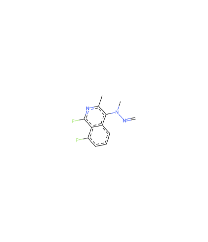 C=NN(C)c1c(C)nc(F)c2c(F)cccc12